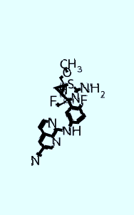 COC[C@]12C[C@H]1[C@@](CF)(c1cc(Nc3nccc4cc(C#N)cnc34)ccc1F)N=C(N)S2